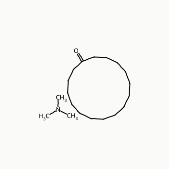 CN(C)C.O=C1CCCCCCCCCCCCCCC1